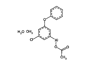 CC(=O)[O][Al][c]1cc(Cl)cc(Oc2ccccc2)c1.O.O